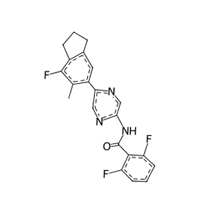 Cc1c(-c2cnc(NC(=O)c3c(F)cccc3F)cn2)cc2c(c1F)CCC2